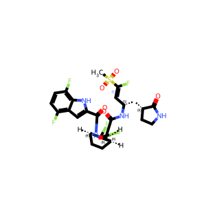 CS(=O)(=O)/C(F)=C/[C@H](C[C@H]1CCNC1=O)NC(=O)[C@H]1[C@H]2CC[C@H](CC2(F)F)N1C(=O)c1cc2c(F)ccc(F)c2[nH]1